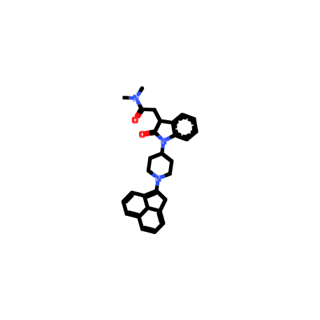 CN(C)C(=O)CC1C(=O)N(C2CCN(C3=C4C=CC=C5C=CC=C(C3)C54)CC2)c2ccccc21